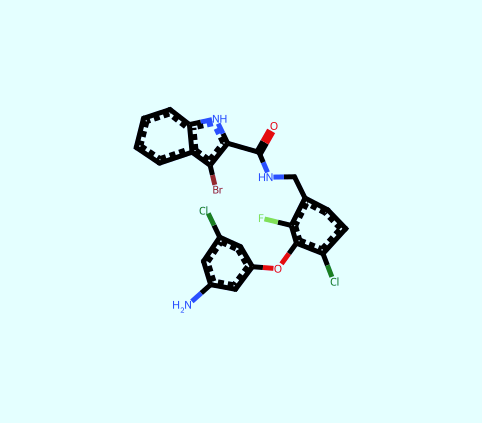 Nc1cc(Cl)cc(Oc2c(Cl)ccc(CNC(=O)c3[nH]c4ccccc4c3Br)c2F)c1